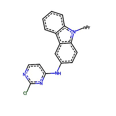 CCCn1c2ccccc2c2cc(Nc3ccnc(Cl)n3)ccc21